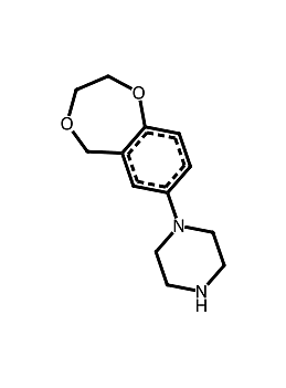 c1cc2c(cc1N1CCNCC1)COCCO2